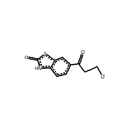 O=C(CCCl)c1ccc2[nH]c(=O)sc2c1